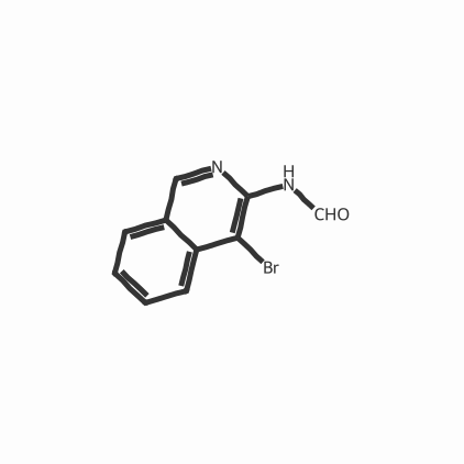 O=CNc1ncc2ccccc2c1Br